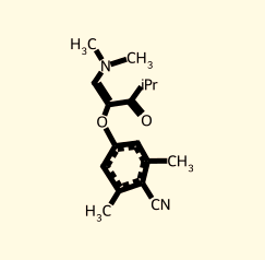 Cc1cc(O/C(=C/N(C)C)C(=O)C(C)C)cc(C)c1C#N